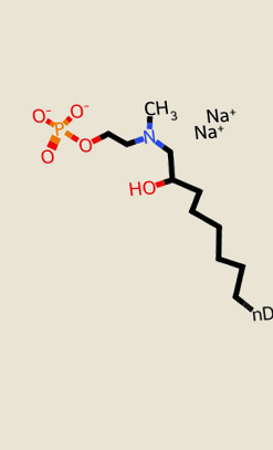 CCCCCCCCCCCCCCCCC(O)CN(C)CCOP(=O)([O-])[O-].[Na+].[Na+]